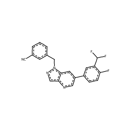 N#Cc1cccc(Cn2ncc3ncc(-c4ccc(F)c(C(F)F)c4)cc32)c1